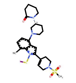 CS(=O)(=O)N1CC=C(c2cc3c(N4CCC[C@@H](N5CCCCC5=O)C4)ccc(C#N)c3n2SI)CC1